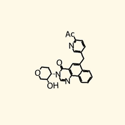 CC(=O)c1ccc(Cc2cc3c(=O)n([C@H]4CCOC[C@@H]4O)cnc3c3ccccc23)cn1